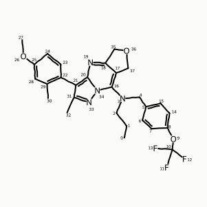 CCCN(Cc1ccc(OC(F)(F)F)cc1)c1c2c(nc3c(-c4ccc(OC)cc4C)c(C)nn13)COC2